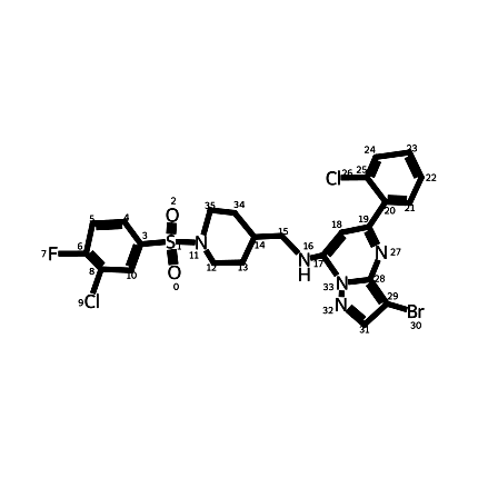 O=S(=O)(c1ccc(F)c(Cl)c1)N1CCC(CNc2cc(-c3ccccc3Cl)nc3c(Br)cnn23)CC1